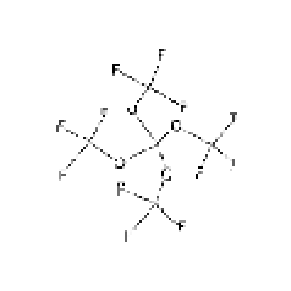 FC(F)(F)OC(OC(F)(F)F)(OC(F)(F)F)OC(F)(F)F